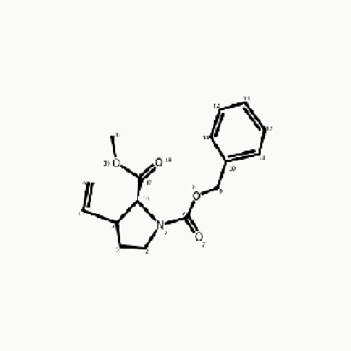 C=CC1CCN(C(=O)OCc2ccccc2)[C@@H]1C(=O)OC